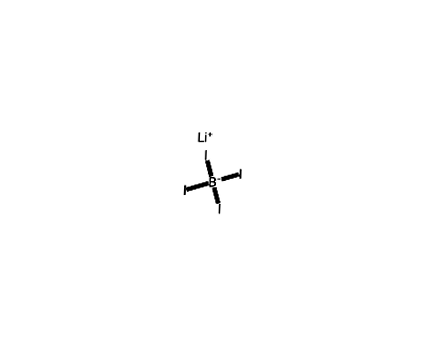 I[B-](I)(I)I.[Li+]